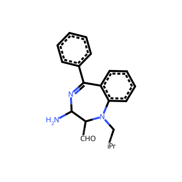 CC(C)CN1c2ccccc2C(c2ccccc2)=NC(N)C1C=O